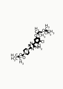 CC(C)(C)OCCC(C)(C)Oc1cc(Cl)c(Cl)c(-c2nnc(N3CCN(C(=O)OC(C)(C)C)CC3)nc2N)c1